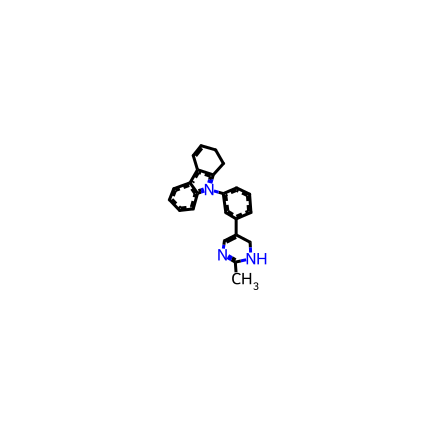 CC1=NC=C(c2cccc(-n3c4c(c5ccccc53)C=CCC4)c2)CN1